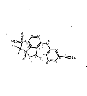 CC1(F)C2(F)CC(F)c3c(Oc4cncc(C#N)c4)ccc(c32)S1(=O)=O